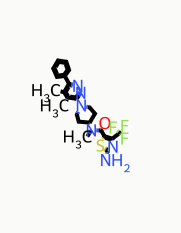 Cc1c(-c2ccccc2)nnc(N2CCC(N(C)C(=O)c3sc(N)nc3C(F)(F)F)CC2)c1C